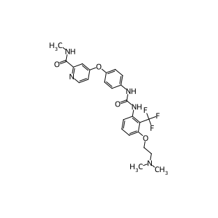 CNC(=O)c1cc(Oc2ccc(NC(=O)Nc3cccc(OCCN(C)C)c3C(F)(F)F)cc2)ccn1